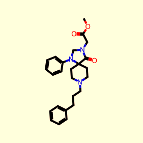 COC(=O)CN1CN(c2ccccc2)C2(CCN(CCCc3ccccc3)CC2)C1=O